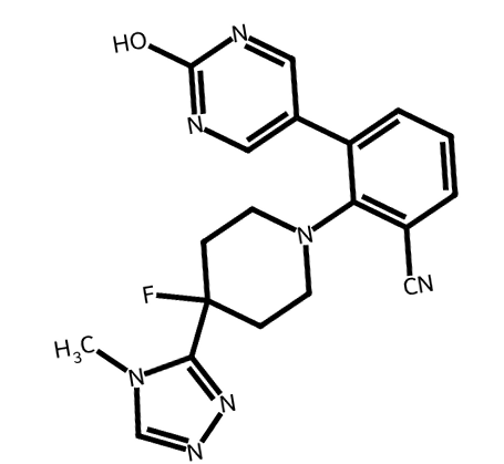 Cn1cnnc1C1(F)CCN(c2c(C#N)cccc2-c2cnc(O)nc2)CC1